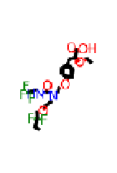 CCOC(Cc1ccc(OCCN(CCOCC(F)(F)CC)C(=O)NCC(F)(F)F)cc1)C(=O)O